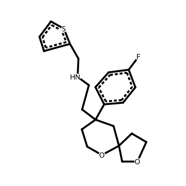 Fc1ccc(C2(CCNCc3cccs3)CCOC3(CCOC3)C2)cc1